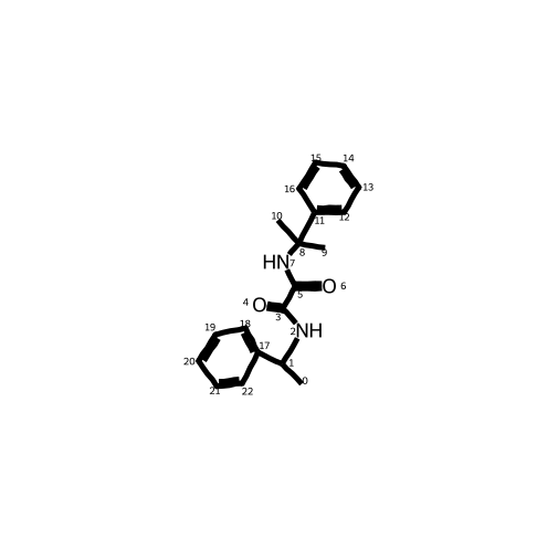 CC(NC(=O)C(=O)NC(C)(C)c1ccccc1)c1ccccc1